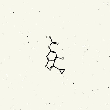 NC(=O)Oc1cc(Cl)c2c(C3CC3)noc2c1